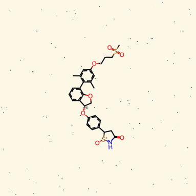 Cc1cc(OCCCS(C)(=O)=O)cc(C)c1-c1cccc2c1OC[C@H]2Oc1ccc(C2CC(=O)N[S+]2[O-])cc1